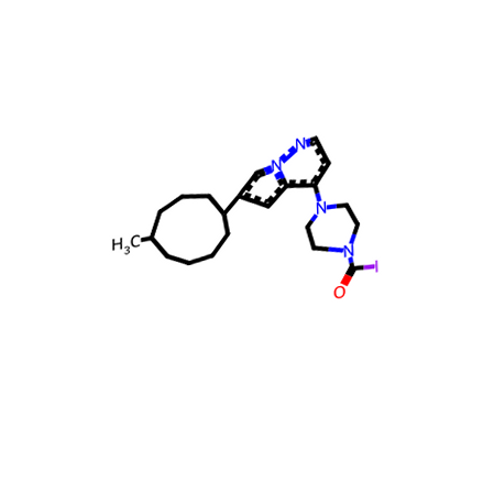 CC1CCCCC(c2cc3c(N4CCN(C(=O)I)CC4)ccnn3c2)CCC1